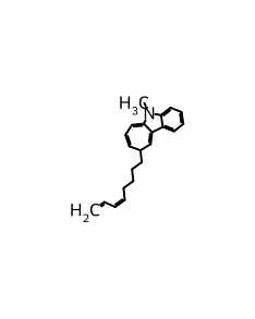 C=C/C=C\CCCCC1C=CC=c2c(c3ccccc3n2C)=C1